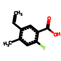 C=Cc1cc(C(=O)O)c(F)cc1C